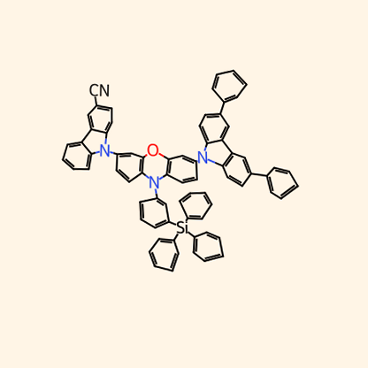 N#Cc1ccc2c(c1)c1ccccc1n2-c1ccc2c(c1)Oc1cc(-n3c4ccc(-c5ccccc5)cc4c4cc(-c5ccccc5)ccc43)ccc1N2c1cccc([Si](c2ccccc2)(c2ccccc2)c2ccccc2)c1